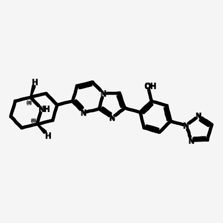 Oc1cc(-n2nccn2)ccc1-c1cn2ccc(C3C[C@H]4CCC[C@@H](C3)N4)nc2n1